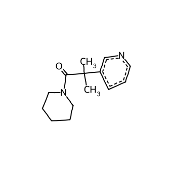 CC(C)(C(=O)N1CCCCC1)c1cccnc1